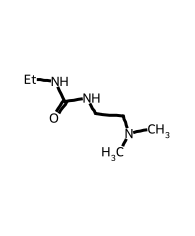 CCNC(=O)NCCN(C)C